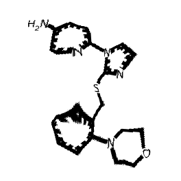 Nc1ccc(-n2ccnc2SCc2ccccc2N2CCOCC2)nc1